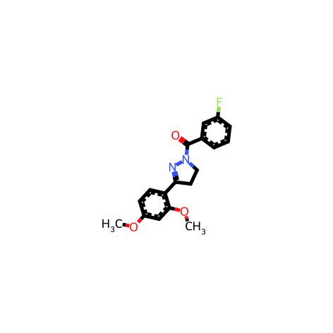 COc1ccc(C2=NN(C(=O)c3cccc(F)c3)CC2)c(OC)c1